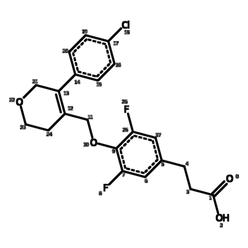 O=C(O)CCc1cc(F)c(OCC2=C(c3ccc(Cl)cc3)COCC2)c(F)c1